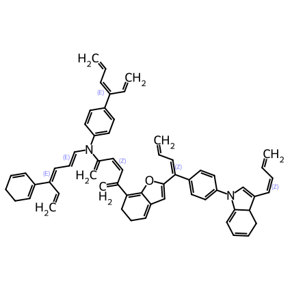 C=C/C=C\C1=CN(c2ccc(/C(=C/C=C)c3cc4c(o3)=C(C(=C)/C=C\C(=C)N(/C=C/C=C(\C=C)C3=CCCC=C3)c3ccc(/C(C=C)=C/C=C)cc3)CCC=4)cc2)C2=CC=CCC12